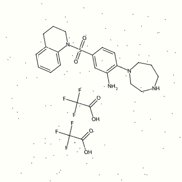 Nc1cc(S(=O)(=O)N2CCCc3ccccc32)ccc1N1CCCNCC1.O=C(O)C(F)(F)F.O=C(O)C(F)(F)F